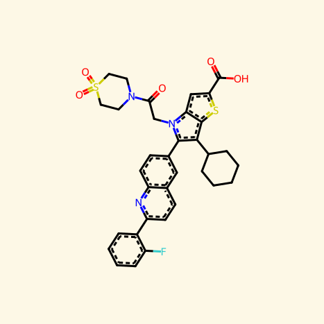 O=C(O)c1cc2c(s1)c(C1CCCCC1)c(-c1ccc3nc(-c4ccccc4F)ccc3c1)n2CC(=O)N1CCS(=O)(=O)CC1